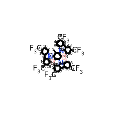 Cc1c2c3c4c5c1-n1c6ccc(C(F)(F)F)cc6c6cc(C(F)(F)F)cc(c61)B5c1cc(C(F)(F)F)cc5c6cc(C(F)(F)F)cc(c6n-4c15)B3c1cc(C(F)(F)F)cc3c4cc(C(F)(F)F)ccc4n-2c13